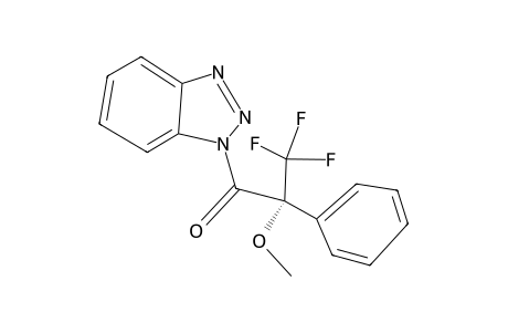 CO[C@@](C(=O)n1nnc2ccccc21)(c1ccccc1)C(F)(F)F